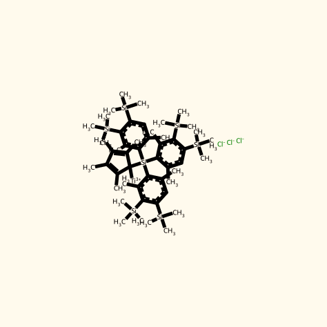 CC1=C(C)[C]([Ti+3])([Si](c2c(C)cc([Si](C)(C)C)c([Si](C)(C)C)c2C)(c2c(C)cc([Si](C)(C)C)c([Si](C)(C)C)c2C)c2c(C)cc([Si](C)(C)C)c([Si](C)(C)C)c2C)C(C)=C1C.[Cl-].[Cl-].[Cl-]